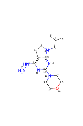 CC(C)CN1CCc2c(NN)nc(N3CCOCC3)nc21